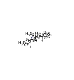 CO/C(=C/C(=N)N1CCC(C)(C)CC1)C(=O)NCC(=O)Nc1ccn2ccnc2c1